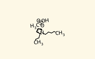 CCCCCn1cccc1CCC.CS(=O)(=O)O